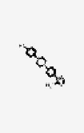 Cc1ncnn1-c1ccc(N2CCN(c3ccc(O)cc3)CC2)cc1